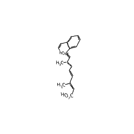 CCCCCCCC/C=C\c1ccccc1/C=C/C(C)=C/C=C/C(C)=C/C(=O)O